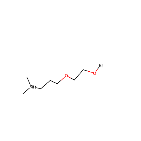 CCOCCOCCC[SiH](C)C